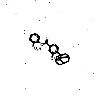 COc1cc(C(=O)Oc2ccccc2C(=O)O)ccc1C12CC3CC(CC(C3)C1)C2